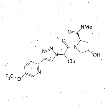 CNC(=O)[C@H]1CC(O)CN1C(=O)C(n1cc(-c2ccc(OC(F)(F)F)cn2)nn1)C(C)(C)C